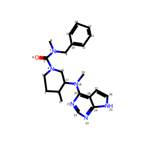 CC1CCN(C(=O)N(C)Cc2ccccc2)CC1N(C)c1ncnc2[nH]ccc12